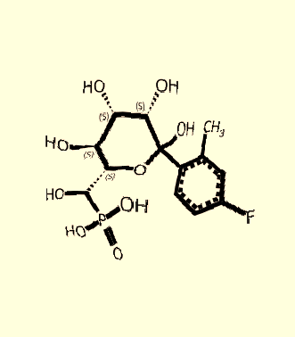 Cc1cc(F)ccc1C1(O)O[C@H](C(O)P(=O)(O)O)[C@@H](O)[C@H](O)[C@@H]1O